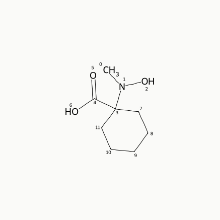 CN(O)C1(C(=O)O)CCCCC1